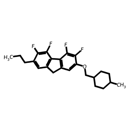 CCCc1cc2c(c(F)c1F)-c1c(cc(OCC3CCC(C)CC3)c(F)c1F)C2